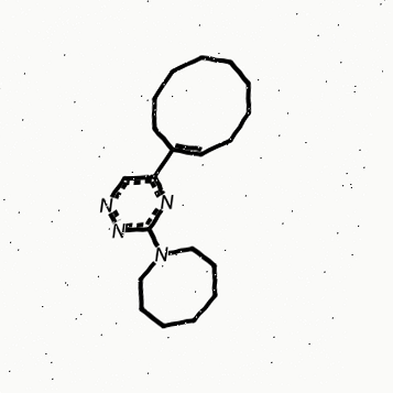 C1=C(/c2cnnc(N3CCCCCCC3)n2)CCCCCCCC/1